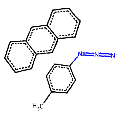 Cc1ccc(N=[N+]=[N-])cc1.c1ccc2cc3ccccc3cc2c1